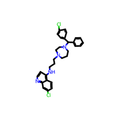 Clc1ccc(C(c2ccccc2)N2CCCN(CCCNc3ccnc4cc(Cl)ccc34)CC2)cc1